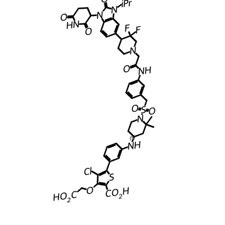 CC(C)n1c(=O)n(C2CCC(=O)NC2=O)c2ccc(C3CCN(CC(=O)Nc4cccc(CS(=O)(=O)N5CC[C@H](Nc6cccc(-c7sc(C(=O)O)c(OCC(=O)O)c7Cl)c6)CC5(C)C)c4)CC3(F)F)cc21